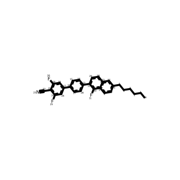 CCCCCCc1ccc2c(F)c(-c3ccc(-c4cc(F)c(C#N)c(F)c4)cc3)ccc2c1